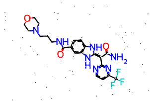 NC(=O)/C(=C1\Nc2ccc(C(=O)NCCCN3CCOCC3)cc2N1)c1nccc(C(F)(F)F)n1